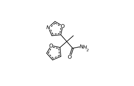 CC(C(N)=O)(c1ccco1)c1cnco1